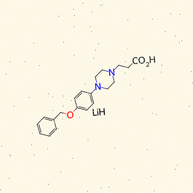 O=C(O)CCN1CCN(c2ccc(OCc3ccccc3)cc2)CC1.[LiH]